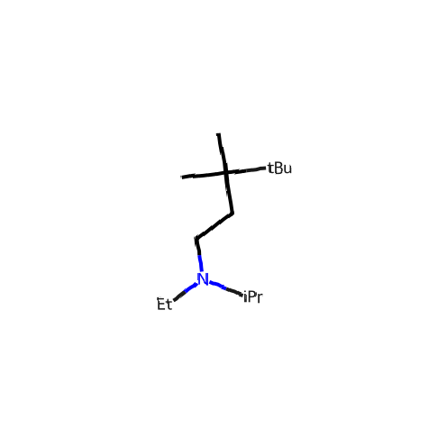 CCN(CCC(C)(C)C(C)(C)C)C(C)C